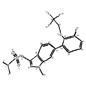 CN(C)S(=O)(=O)Nc1nn(C)c2cc(-c3cccc(F)c3OCC(F)(F)F)ccc12